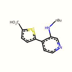 CCCCNc1cnccc1-c1ccc(C(=O)O)s1